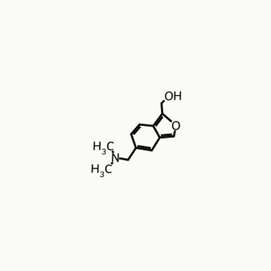 CN(C)Cc1ccc2c(CO)occ2c1